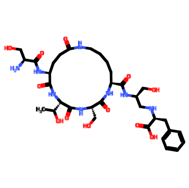 CC(O)[C@@H]1NC(=O)[C@@H](NC(=O)[C@@H](N)CO)CCC(=O)NCCCC[C@@H](C(=O)N[C@@H](CO)CN[C@@H](Cc2ccccc2)C(=O)O)NC(=O)[C@H](CO)NC1=O